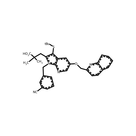 CC(C)(C)Sc1c(CC(C)(C)C(=O)O)n(Cc2cccc(C#N)c2)c2ncc(OCc3ccc4ccccc4n3)cc12